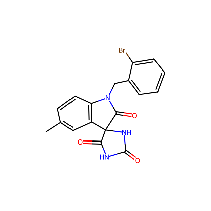 Cc1ccc2c(c1)C1(NC(=O)NC1=O)C(=O)N2Cc1ccccc1Br